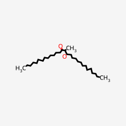 CCCCCCCCCCCCCC(=O)[C](C)C(=O)CCCCCCCCCCCCC